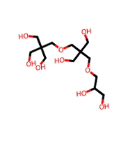 OCC(O)COCC(CO)(CO)COCC(CO)(CO)CO